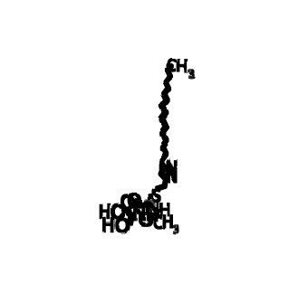 CCCCCCCCCCCCCCCCn1cc(CCSC[C@H](NC(C)=O)C(=O)NC(CO)C(=O)O)nn1